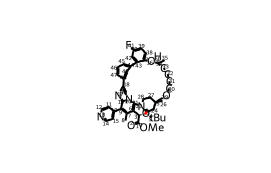 COC(=O)[C@@H](OC(C)(C)C)c1c(C)c(-c2ccncc2)c2nc3cn2c1N1CCC(C)(CC1)OCCCC[C@H](C)Oc1ccc(F)cc1-c1cccc-3c1